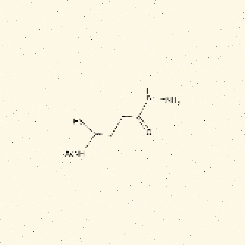 CC(=O)NC(S)CCC(=O)NN